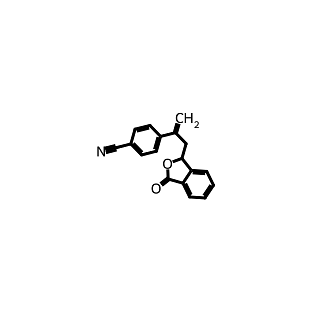 C=C(CC1OC(=O)c2ccccc21)c1ccc(C#N)cc1